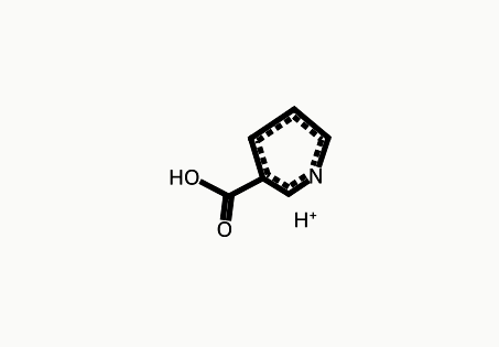 O=C(O)c1cccnc1.[H+]